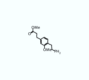 COC(=O)CCc1ccc(CCP)c(OC)c1